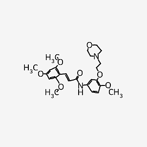 COc1cc(OC)c(C=CC(=O)Nc2ccc(OC)c(OCCN3CCOCC3)c2)c(OC)c1